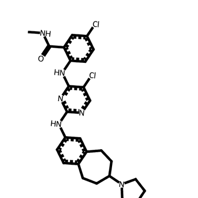 CNC(=O)c1cc(Cl)ccc1Nc1nc(Nc2ccc3c(c2)CCC(N2CCCC2)CC3)ncc1Cl